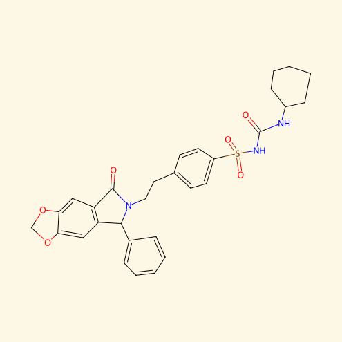 O=C(NC1CCCCC1)NS(=O)(=O)c1ccc(CCN2C(=O)c3cc4c(cc3C2c2ccccc2)OCO4)cc1